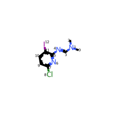 CN(C)C=Nc1nc(Cl)ccc1I